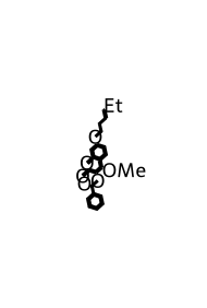 CCC=CCCOc1ccc2c(OC)c(OC(=O)c3ccccc3)c(=O)oc2c1